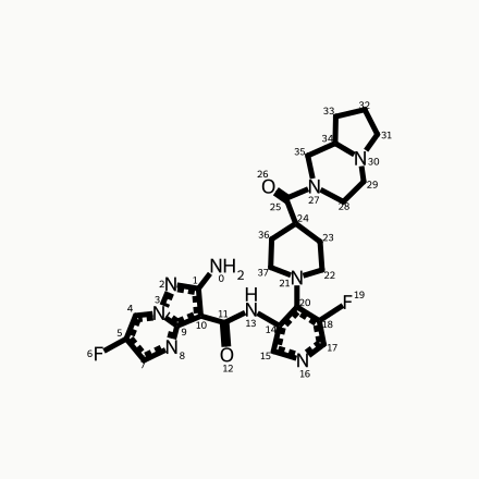 Nc1nn2cc(F)cnc2c1C(=O)Nc1cncc(F)c1N1CCC(C(=O)N2CCN3CCCC3C2)CC1